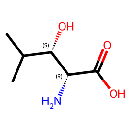 CC(C)[C@H](O)[C@@H](N)C(=O)O